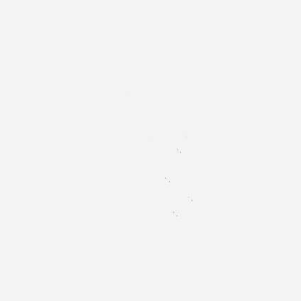 COc1cccc2cc(C(=O)C3=C(O)C(=O)N(CCCn4ccnc4)C3c3ccccn3)oc12